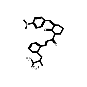 CC(Cc1ccccc1/C=C/C(=O)C1CCC/C(=C/c2ccc(N(C)C)cc2)C1=O)C(N)C(=O)O